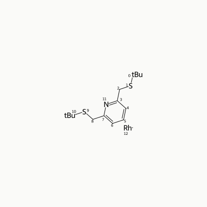 CC(C)(C)SCc1cccc(CSC(C)(C)C)n1.[Rh]